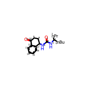 CCCCC(CCC)NC(=O)NC1CCC(=O)c2ccccc21